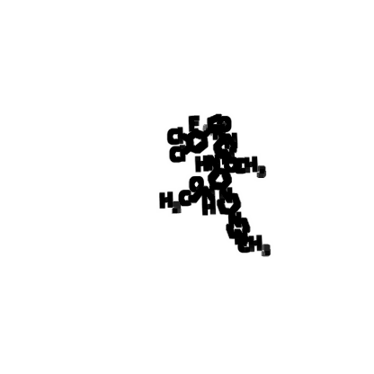 C=CC(=O)Nc1cc(Nc2cc(N3OCC[C@@H]3c3ccc(Cl)c(Cl)c3F)ncn2)c(OC)cc1N1CCC(N2CCN(C)CC2)CC1